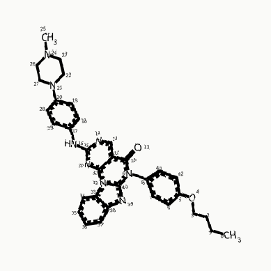 CCCCOc1ccc(-n2c(=O)c3cnc(Nc4ccc(N5CCN(C)CC5)cc4)nc3n3c4ccccc4nc23)cc1